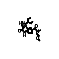 CCC(CC)C1NC=C2C(=O)Nc3ccc(C(=O)N(C)CCOC)cc3N21